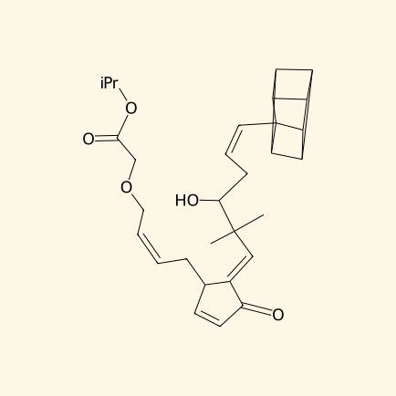 CC(C)OC(=O)COC/C=C\CC1C=CC(=O)/C1=C/C(C)(C)C(O)C/C=C\C12C3C4C5C3C1C5C42